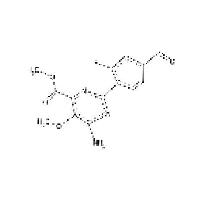 COC(=O)c1nc(-c2ccc(C=O)cc2F)nc(N)c1OC